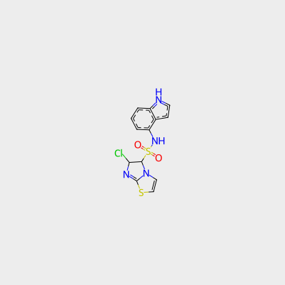 O=S(=O)(Nc1cccc2[nH]ccc12)C1C(Cl)N=C2SC=CN21